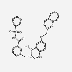 O=C(NS(=O)(=O)c1ccccc1)c1cccc(C[C@H]2CNc3ccc(OCc4ccc5ccccc5n4)cc3[C@H]2O)c1